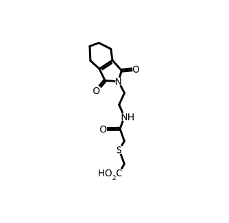 O=C(O)CSCC(=O)NCCN1C(=O)C2=C(CCCC2)C1=O